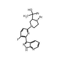 CC(=O)N1CCN(c2ccc(F)c(-c3n[nH]c4ncccc34)n2)CC1C(C)(O)C(C)C